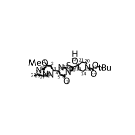 COc1cc(-c2cc(=O)n3cc(C4(O)CCN(C(=O)OC(C)(C)C)CC4)sc3n2)nn2cc(C)nc12